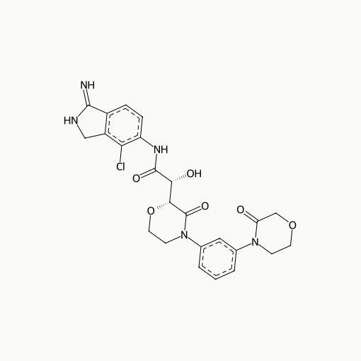 N=C1NCc2c1ccc(NC(=O)[C@H](O)[C@H]1OCCN(c3cccc(N4CCOCC4=O)c3)C1=O)c2Cl